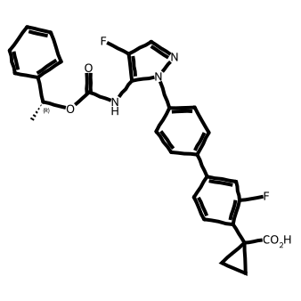 C[C@@H](OC(=O)Nc1c(F)cnn1-c1ccc(-c2ccc(C3(C(=O)O)CC3)c(F)c2)cc1)c1ccccc1